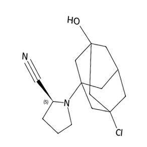 N#C[C@@H]1CCCN1C12CC3CC(O)(CC(Cl)(C3)C1)C2